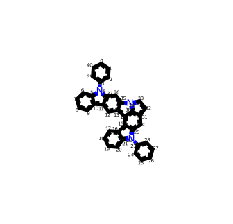 c1ccc(-n2c3ccccc3c3cc4c5c6c7ccccc7n(-c7ccccc7)c6cc6ccn(c4cc32)c65)cc1